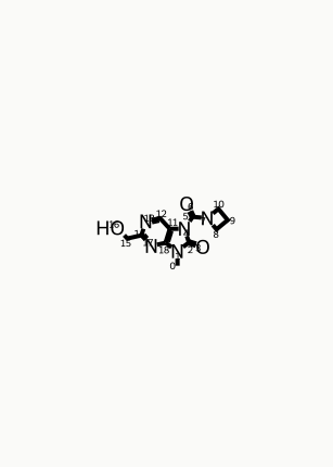 Cn1c(=O)n(C(=O)N2CCC2)c2cnc(CO)nc21